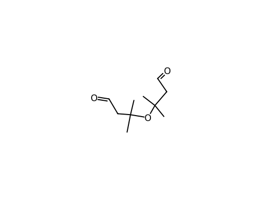 CC(C)(CC=O)OC(C)(C)CC=O